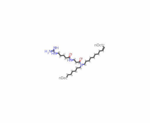 CCCCCCCC/C=C\CCCCCCCCN(CCCCCCCCCCCCCCCC)C(=O)CCNC(=O)CCCCNC(=N)N